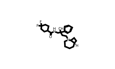 CC(CCN1CCCC[C@@H]2CCC21)(CNC(=O)C1CCC(F)(F)CC1)c1ccccc1